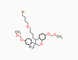 COCOc1ccc(C2(C)COc3cc(OCOC)ccc3C2CCCCOCCCCBr)cc1